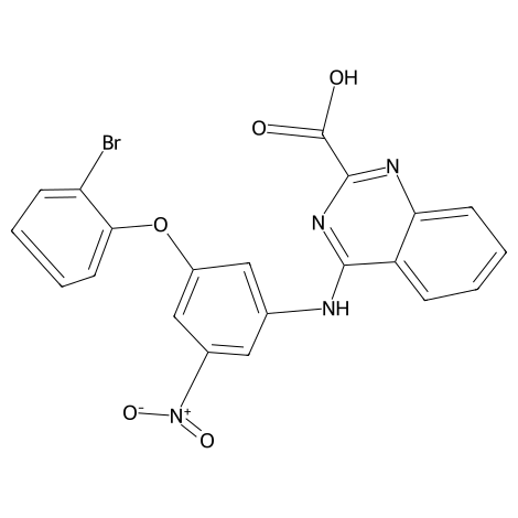 O=C(O)c1nc(Nc2cc(Oc3ccccc3Br)cc([N+](=O)[O-])c2)c2ccccc2n1